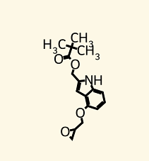 CC(C)(C)C(=O)OCc1cc2c(OCC3CO3)cccc2[nH]1